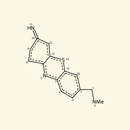 CNCc1ccc2nc3ccc(=N)cc-3sc2c1